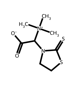 C[N+](C)(C)C(C(=O)[O-])N1CCSC1=S